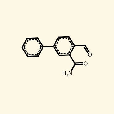 NC(=O)c1cc(-c2ccccc2)ccc1C=O